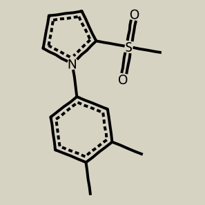 Cc1ccc(-n2cccc2S(C)(=O)=O)cc1C